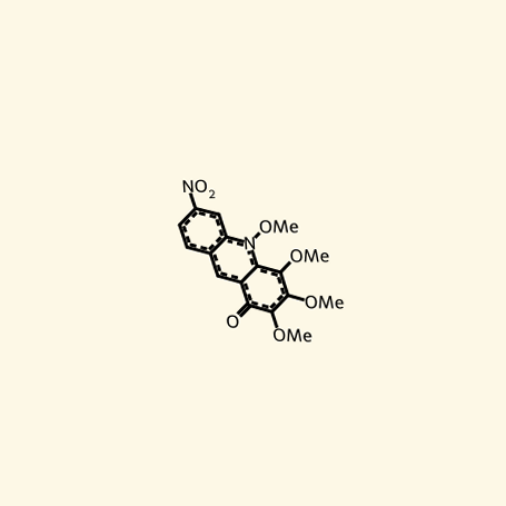 COc1c(OC)c2n(OC)c3cc([N+](=O)[O-])ccc3cc-2c(=O)c1OC